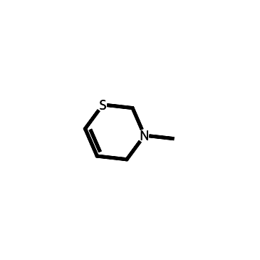 CN1CC=CSC1